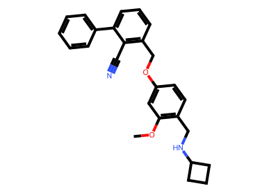 COc1cc(OCc2cccc(-c3ccccc3)c2C#N)ccc1CNC1CCC1